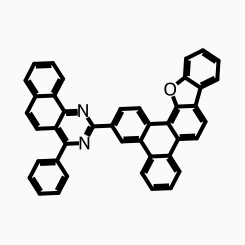 c1ccc(-c2nc(-c3ccc4c(c3)c3ccccc3c3ccc5c6ccccc6oc5c34)nc3c2ccc2ccccc23)cc1